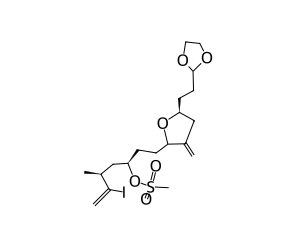 C=C1C[C@H](CCC2OCCO2)OC1CC[C@H](C[C@H](C)C(=C)I)OS(C)(=O)=O